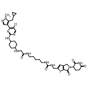 Cn1ncc(-c2nc(NC3CCC(NCC(=O)NCCCCCNC(=O)NCc4cc5c(s4)C(=O)N(C4CCC(=O)NC4=O)C5)CC3)ncc2Cl)c1CC1CC1